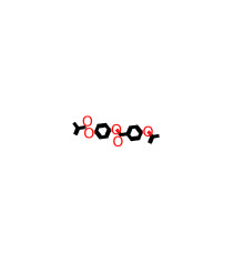 C=C(C)Oc1ccc(C(=O)Oc2ccc(OC(=O)C(=C)C)cc2)cc1